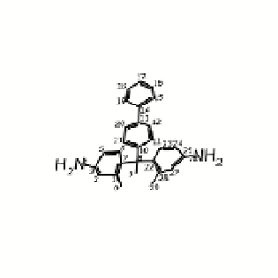 Cc1cc(N)ccc1C(C)(c1ccc(-c2ccccc2)cc1)c1ccc(N)cc1C